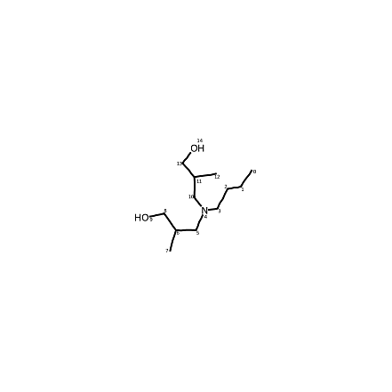 CCCCN(CC(C)CO)CC(C)CO